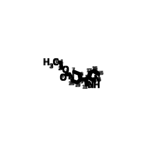 CCCOC(=O)N1CC=C(c2c[nH]c3ncccc23)CC1